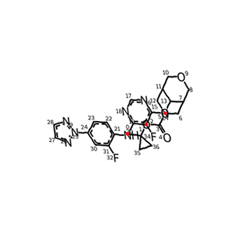 CC1(OC(=O)N2CC3COCC(C2)C3Oc2ncnc(Nc3ccc(-n4nccn4)cc3F)c2F)CC1